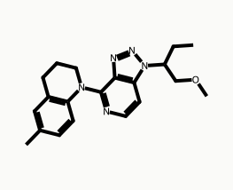 CCC(COC)n1nnc2c(N3CCCc4cc(C)ccc43)nccc21